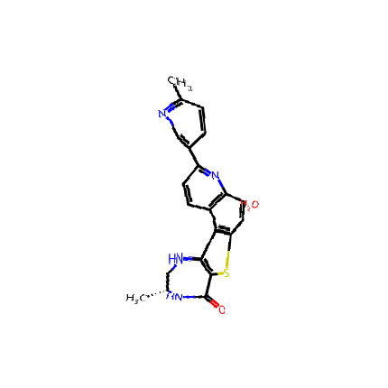 Cc1ccc(-c2ccc3c(ccc4sc5c(c43)NC[C@@H](C)NC5=O)n2)cn1.O